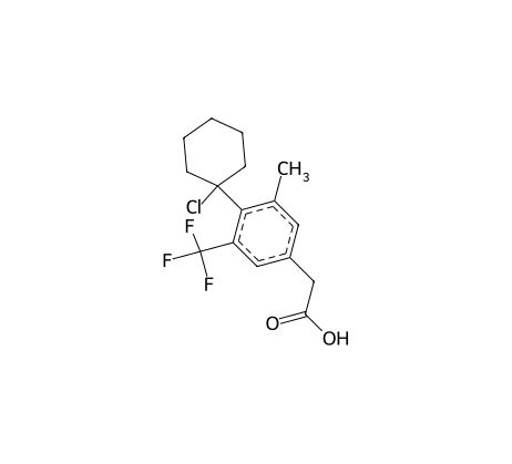 Cc1cc(CC(=O)O)cc(C(F)(F)F)c1C1(Cl)CCCCC1